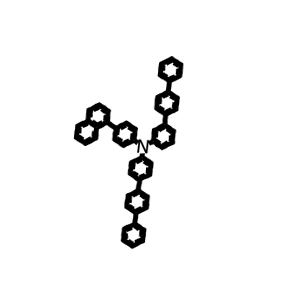 c1ccc(-c2ccc(-c3ccc(N(c4ccc(-c5cccc6ccccc56)cc4)c4cccc(-c5ccc(-c6ccccc6)cc5)c4)cc3)cc2)cc1